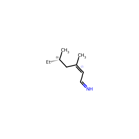 CC[C@H](C)C/C(C)=C\C=N